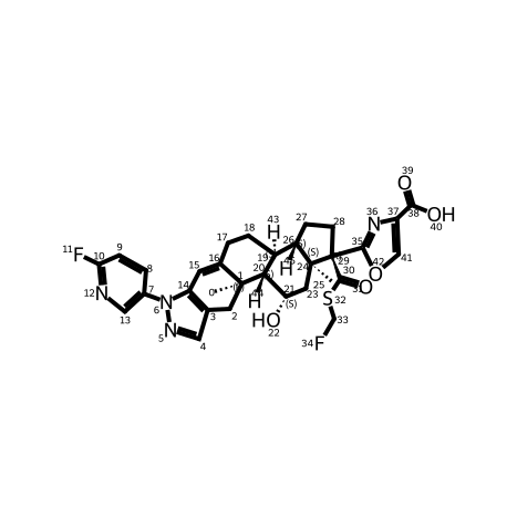 C[C@]12Cc3cnn(-c4ccc(F)nc4)c3C=C1CC[C@@H]1[C@@H]2[C@@H](O)C[C@@]2(C)[C@H]1CC[C@]2(C(=O)SCF)c1nc(C(=O)O)co1